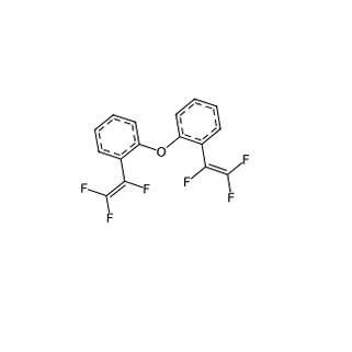 FC(F)=C(F)c1ccccc1Oc1ccccc1C(F)=C(F)F